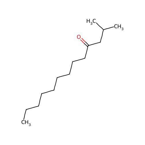 CCCCCCCCCC(=O)CC(C)C